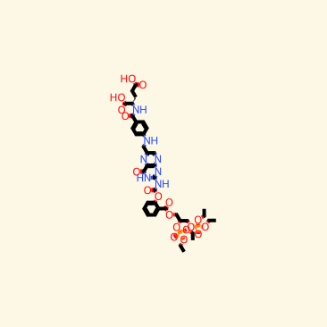 CCOP(=O)(OCC)OCC(COC(=O)c1ccccc1OC(=O)Nc1nc2ncc(CNc3ccc(C(=O)N[C@@H](CCC(=O)O)C(=O)O)cc3)nc2c(=O)[nH]1)OP(=O)(OCC)OCC